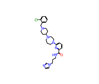 O=C(NCCCn1ccnc1)c1cccc(N2CCCN(C3CCN(Cc4ccccc4Cl)CC3)CC2)n1